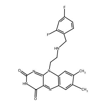 Cc1cc2nc3c(=O)[nH]c(=O)nc-3n(CCNCc3ccc(F)cc3F)c2cc1C